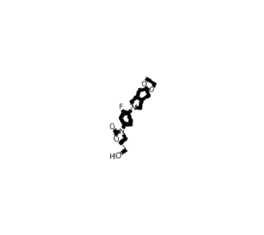 O=C1O[C@@H](CO)CN1c1ccc(N2CC3CC4(CC3C2)OCCO4)c(F)c1